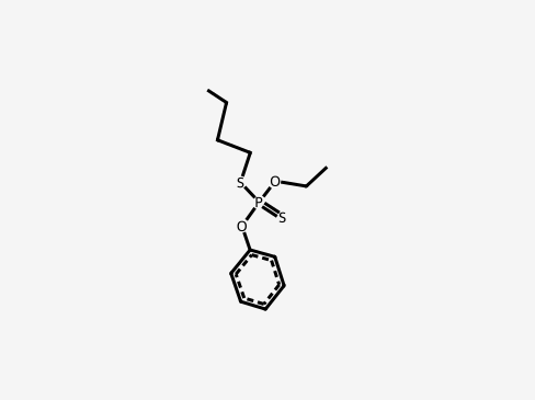 CCCCSP(=S)(OCC)Oc1ccccc1